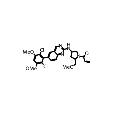 C=CC(=O)N1CC(Nc2ncc3cc(-c4c(Cl)c(OC)cc(OC)c4Cl)ccc3n2)CC1COC